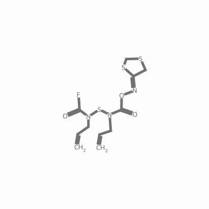 C=CCN(SN(CC=C)C(=O)ON=C1CSCS1)C(=O)F